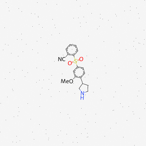 COc1cc(S(=O)(=O)c2ccccc2C#N)ccc1C1CCNC1